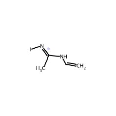 C=CN/C(C)=N/I